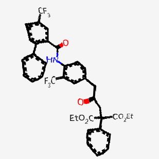 CCOC(=O)C(CC(=O)Cc1ccc(NC(=O)c2cc(C(F)(F)F)ccc2-c2ccccc2)c(C(F)(F)F)c1)(C(=O)OCC)c1ccccc1